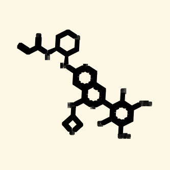 C=CC(=O)N[C@H]1CCOC[C@H]1Nc1cc2c(NC3COC3)nc(-c3c(Cl)c(OC)cc(OC)c3Cl)cc2cn1